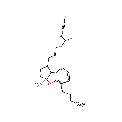 CC#CCC(C)C/C=C/CC1CCC2(N)Oc3c(CCCC(=O)O)cccc3C12